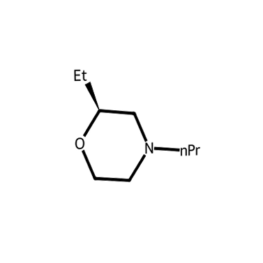 CCCN1CCO[C@@H](CC)C1